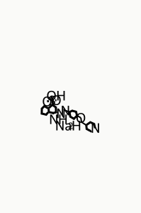 Nc1c(/N=N/c2ccc(OCc3ccncc3)cc2)cc(S(=O)(=O)O)c2ccccc12.[NaH]